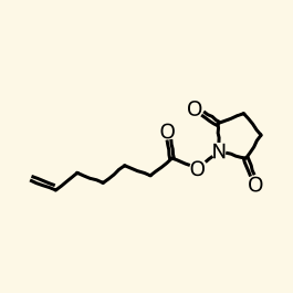 C=CCCCCC(=O)ON1C(=O)CCC1=O